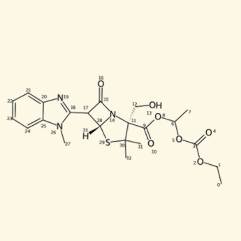 CCOC(=O)OC(C)OC(=O)[C@]1(CO)N2C(=O)C(c3nc4ccccc4n3C)[C@H]2SC1(C)C